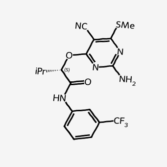 CSc1nc(N)nc(O[C@H](C(=O)Nc2cccc(C(F)(F)F)c2)C(C)C)c1C#N